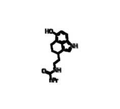 CCCC(=O)NCCC1CCc2c(O)ccc3[nH]cc1c23